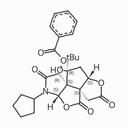 CC(C)(C)[C@]1(O)C[C@@H]2OC(=O)C[C@@]23C(=O)O[C@@H]2N(C4CCCC4)C(=O)[C@H](OC(=O)c4ccccc4)[C@]213